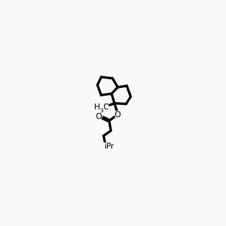 CC(C)CCC(=O)OC1(C)CCCC2CCCCC21